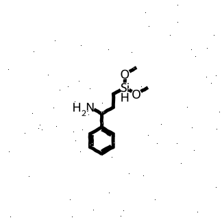 CO[SiH](CCC(N)c1ccccc1)OC